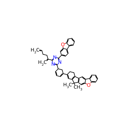 C=CCCC(=C)c1nc(-c2ccc3c(c2)oc2ccccc23)nc(C2C=CC=C(C3=CC4=C(CC3)c3cc5c(cc3C4(C)C)oc3ccccc35)C2)n1